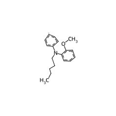 CCCCCN(c1cc[c]cc1)c1ccccc1OC